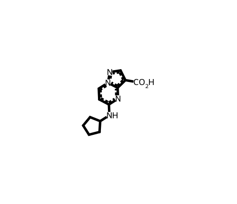 O=C(O)c1cnn2ccc(NC3CCCC3)nc12